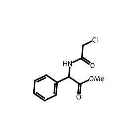 COC(=O)C(NC(=O)CCl)c1ccccc1